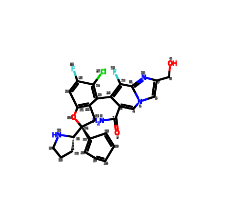 NC(=O)c1cn2cc(CO)nc2c(F)c1-c1c(Cl)c(F)cc2c1C[C@](c1ccccc1)([C@@H]1CCCN1)O2